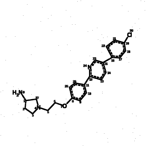 NC1CCN(CCOc2ccc(-c3ccc(-c4ccc(Cl)cc4)cn3)cc2)C1